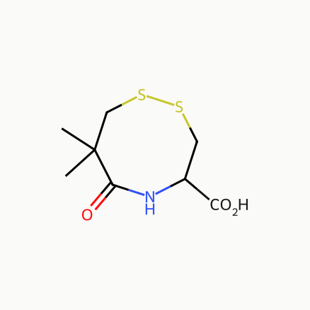 CC1(C)CSSCC(C(=O)O)NC1=O